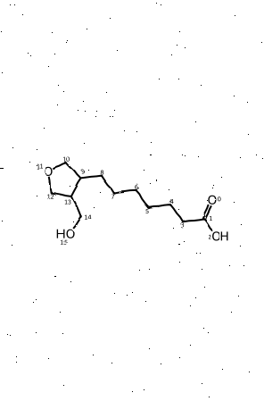 O=C(O)CCCCCCC1COCC1CO